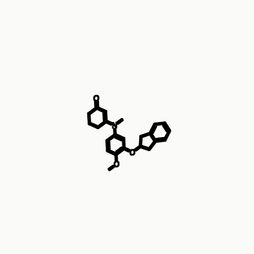 COc1ccc(N(C)C2=CC(=O)CCC2)cc1OC1Cc2ccccc2C1